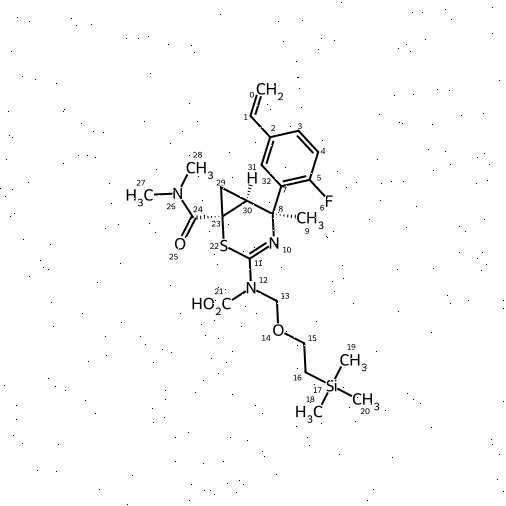 C=Cc1ccc(F)c([C@@]2(C)N=C(N(COCC[Si](C)(C)C)C(=O)O)S[C@@]3(C(=O)N(C)C)C[C@H]32)c1